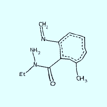 C=Nc1cccc(C)c1C(=O)N(N)CC